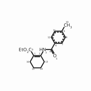 CCOC(=O)C1=C(NC(=O)c2ccc(C)cc2)CCCC1